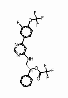 O=C(O[C@@H](CNc1cc(-c2ccc(OC(F)(F)F)c(F)c2)ncn1)c1ccccc1)C(F)(F)F